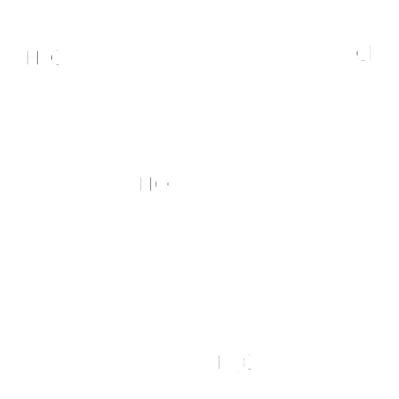 C/C=C/c1ccc(Cl)cc1C(O)CCCC